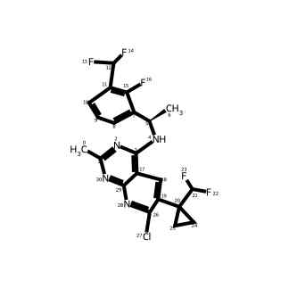 Cc1nc(N[C@H](C)c2cccc(C(F)F)c2F)c2cc(C3(C(F)F)CC3)c(Cl)nc2n1